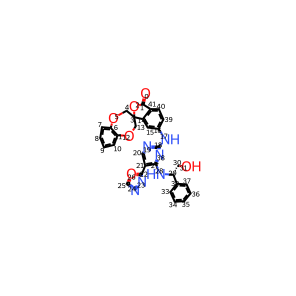 O=C1OC2(COc3ccccc3OC2)c2cc(Nc3ncc(-c4nnco4)c(N[C@H](CO)c4ccccc4)n3)ccc21